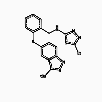 CCc1nnc(NCc2ccccc2Sc2ccc3nnc(C(C)(C)C)n3c2)s1